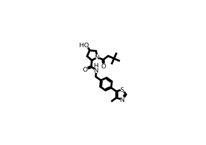 Cc1ncsc1-c1ccc(CNC(=O)C2CC(O)CN2C(=O)CC(C)(C)C)cc1